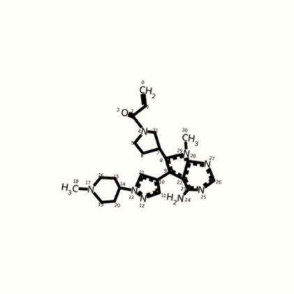 C=CC(=O)N1CCC(c2c(-c3cnn(C4CCN(C)CC4)c3)c3c(N)ncnc3n2C)C1